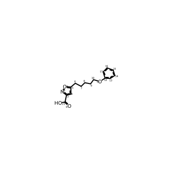 O=C(O)c1cc(CCCCCOc2ccccc2)on1